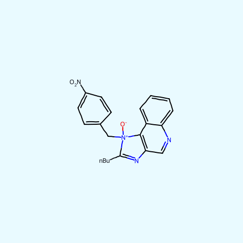 CCCCC1=Nc2cnc3ccccc3c2[N+]1([O-])Cc1ccc([N+](=O)[O-])cc1